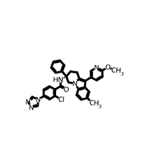 COc1ccc(-c2c3n(c4ccc(C)cc24)C[C@@](NC(=O)c2ccc(-n4cnnc4)cc2Cl)(c2ccccc2)CC3)cn1